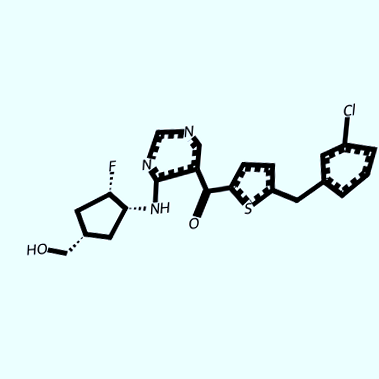 O=C(c1ccc(Cc2cccc(Cl)c2)s1)c1cncnc1N[C@@H]1C[C@H](CO)C[C@@H]1F